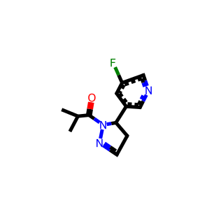 CC(C)C(=O)N1N=CCC1c1cncc(F)c1